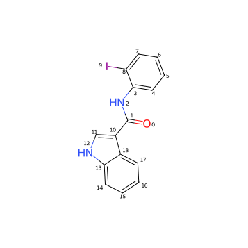 O=C(Nc1ccccc1I)c1c[nH]c2ccccc12